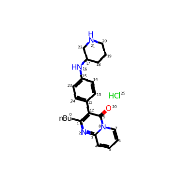 CCCCc1nc2ccccn2c(=O)c1-c1ccc(NC2CCCNC2)cc1.Cl